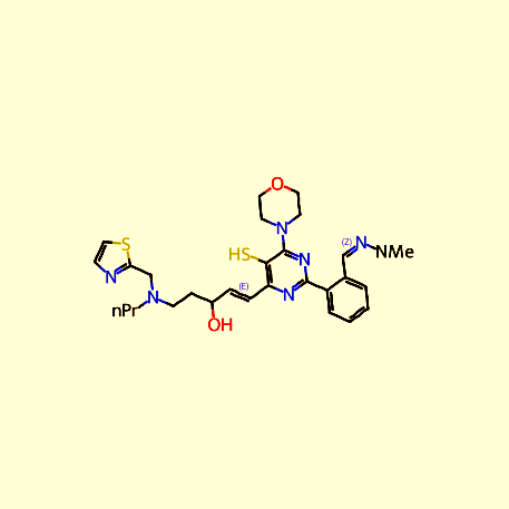 CCCN(CCC(O)/C=C/c1nc(-c2ccccc2/C=N\NC)nc(N2CCOCC2)c1S)Cc1nccs1